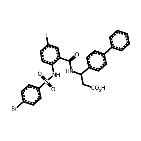 O=C(O)CC(NC(=O)c1cc(I)ccc1NS(=O)(=O)c1ccc(Br)cc1)c1ccc(-c2ccccc2)cc1